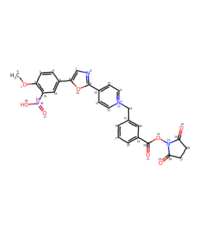 COc1ccc(-c2cnc(-c3cc[n+](Cc4cccc(C(=O)ON5C(=O)CCC5=O)c4)cc3)o2)cc1[PH](=O)O